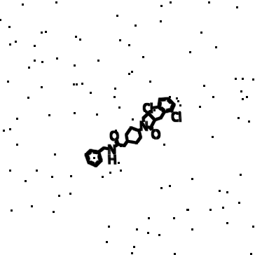 O=C(CC1CCC(N2CCC(Cc3c(Cl)cccc3Cl)C2=O)CC1)NCc1ccccc1